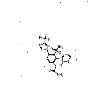 NC(=O)Cc1ccc(-n2cnc(C(F)(F)F)n2)c(S(N)(=O)=O)c1-c1cccnc1Cl